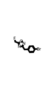 FCc1nc(Cc2ccc(Br)cc2)no1